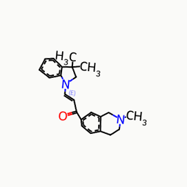 CN1CCc2ccc(C(=O)/C=C/N3CC(C)(C)c4ccccc43)cc2C1